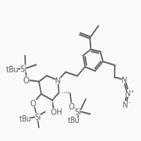 C=C(C)c1cc(CCN=[N+]=[N-])cc(CCN2CC(O[Si](C)(C)C(C)(C)C)C(O[Si](C)(C)C(C)(C)C)[C@H](O)[C@H]2CO[Si](C)(C)C(C)(C)C)c1